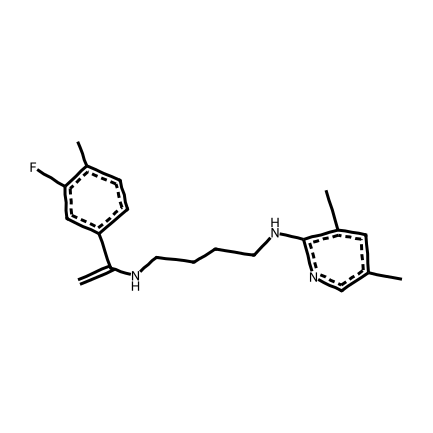 C=C(NCCCCNc1ncc(C)cc1C)c1ccc(C)c(F)c1